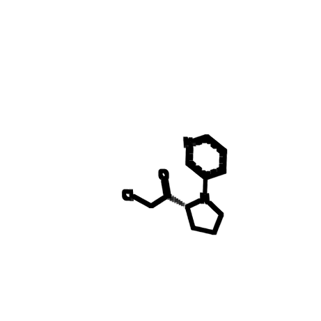 O=C(CCl)[C@H]1CCCN1c1cccnc1